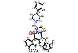 COc1cccc(-c2c(C)c(Cc3ccccc3F)c3n(c2=O)C(CN2CCC(c4ccccc4)CC2)CS3)c1F